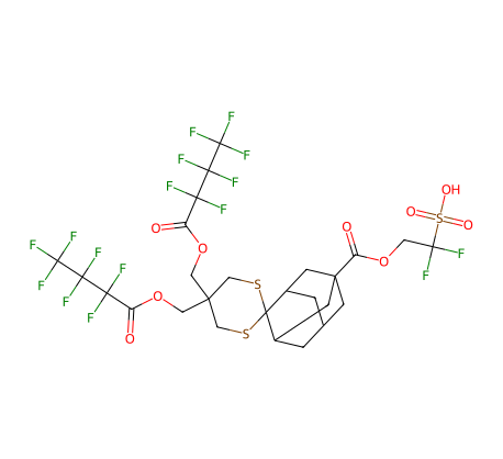 O=C(OCC(F)(F)S(=O)(=O)O)C12CC3CC(C1)C1(SCC(COC(=O)C(F)(F)C(F)(F)C(F)(F)F)(COC(=O)C(F)(F)C(F)(F)C(F)(F)F)CS1)C(C3)C2